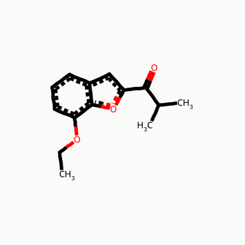 CCOc1cccc2cc(C(=O)C(C)C)oc12